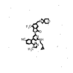 Cn1cnnc1-c1ccc(C#N)cc1-c1cc(NCCC2CC2)nc(N2Cc3c(cc(CN4CC5(CCOCC5)C4)cc3C(F)(F)F)C2=O)c1